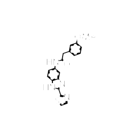 COc1cccc(CC(=O)Nc2ccc3c(c2)[N+]=C(c2nccs2)N3)c1